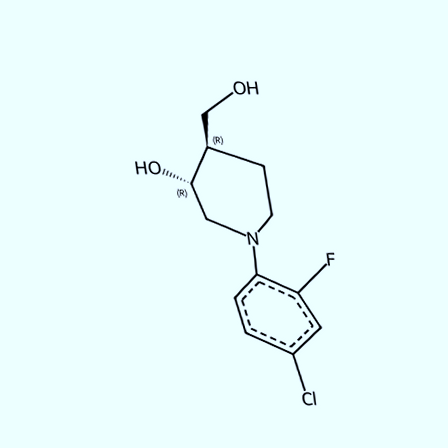 OC[C@H]1CCN(c2ccc(Cl)cc2F)C[C@@H]1O